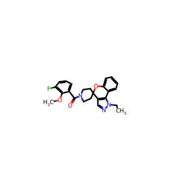 CCn1ncc2c1-c1ccccc1OC21CCN(C(=O)c2cccc(F)c2OC)CC1